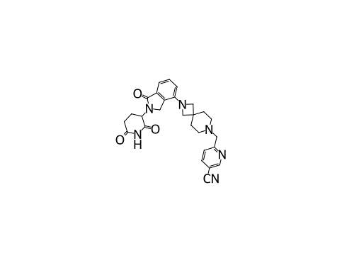 N#Cc1ccc(CN2CCC3(CC2)CN(c2cccc4c2CN(C2CCC(=O)NC2=O)C4=O)C3)nc1